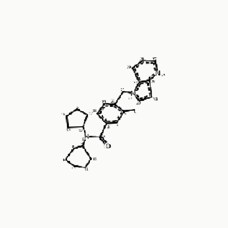 Cc1cc(C(=O)N(C2CCCCC2)C2CCCC2)ccc1Cn1ccc2ncccc21